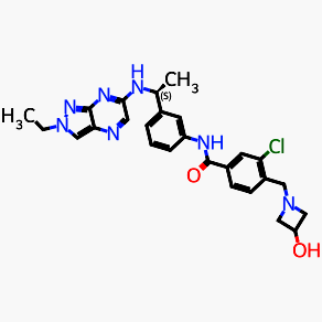 CCn1cc2ncc(N[C@@H](C)c3cccc(NC(=O)c4ccc(CN5CC(O)C5)c(Cl)c4)c3)nc2n1